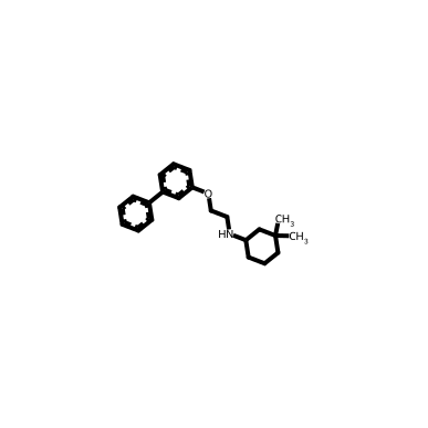 CC1(C)CCCC(NCCOc2cccc(-c3ccccc3)c2)C1